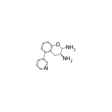 NC1Oc2cccc(-c3cccnc3)c2C[C@@H]1N